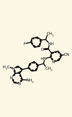 CC(NC(=O)c1cc(C#N)cnc1NC(C)c1ccc(-c2cn(C)c3ncnc(N)c23)cc1)c1ccc(F)cc1